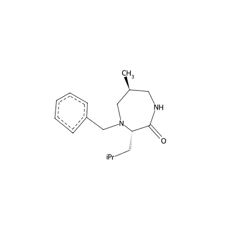 CC(C)C[C@H]1C(=O)NC[C@H](C)CN1Cc1ccccc1